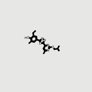 CCc1cc(-c2nnc(-c3cc(C)nc(OCC(C)C)n3)o2)cc(C)c1O